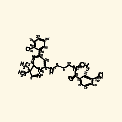 BC1(C)C=NN2C(NCCCN(C)C(=O)c3cccc(Cl)c3)=CC(c3ccccc3Cl)=NC21